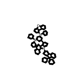 c1ccc(N(c2ccccc2)c2cc(-c3cccc4c3c3ccc5ccccc5c3n4-c3ccc4c(c3)-c3ccccc3C4(c3ccccc3)c3ccccc3)cc(N(c3ccccc3)c3cccc4oc5ccccc5c34)c2)cc1